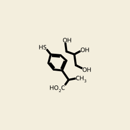 CC(C(=O)O)c1ccc(S)cc1.OCC(O)CO